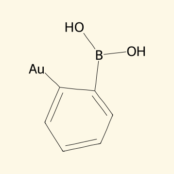 OB(O)c1cccc[c]1[Au]